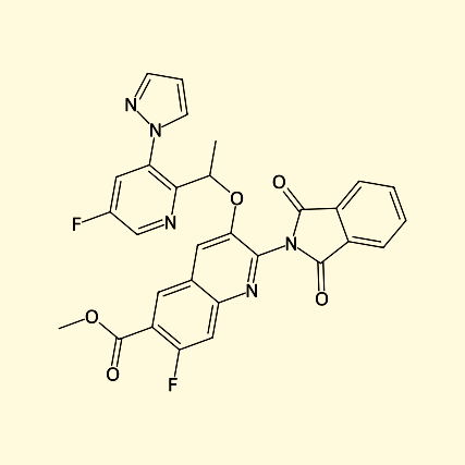 COC(=O)c1cc2cc(OC(C)c3ncc(F)cc3-n3cccn3)c(N3C(=O)c4ccccc4C3=O)nc2cc1F